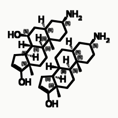 C[C@]12CC[C@H](N)C[C@@H]1CC[C@@H]1[C@@H]2CC[C@]2(C)C(O)=CC[C@@H]12.C[C@]12CC[C@H](N)C[C@@H]1C[C@H](O)[C@@H]1[C@@H]2CC[C@]2(C)C(O)=CC[C@@H]12